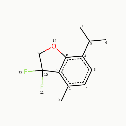 Cc1ccc(C(C)C)c2c1C(F)(F)CO2